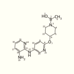 CB(O)N1CCC(Oc2ccc(Nc3ncccc3N)cn2)CC1